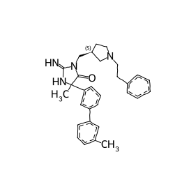 Cc1cccc(-c2cccc(C3(C)NC(=N)N(C[C@H]4CCN(CCc5ccccc5)C4)C3=O)c2)c1